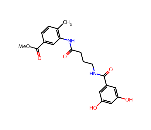 COC(=O)c1ccc(C)c(NC(=O)CCCNC(=O)c2cc(O)cc(O)c2)c1